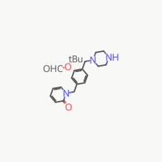 CC(C)(C)OC=O.O=c1ccccn1Cc1ccc(CN2CCNCC2)cc1